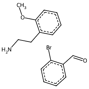 COc1ccccc1CCN.O=Cc1ccccc1Br